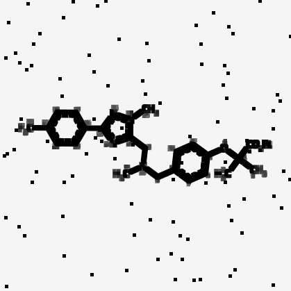 CCOC(=O)C(C)(C)Oc1ccc(CN(C)Cc2nc(-c3ccc(C(F)(F)F)cc3)nn2C)cc1